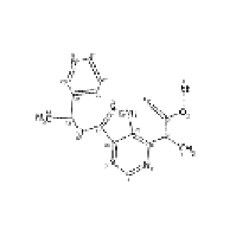 CCOC(=S)C(C)c1ncnc2c(OC(C)c3cccnc3)n[nH]c12